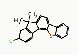 CC1(C)C2=C(C=CC(Cl)C2)c2c1ccc1c2sc2ccccc21